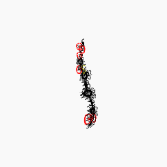 C=CC(=O)OCCOc1ccc(C(=O)Sc2ccc(C#Cc3ccc(C#Cc4ccc(OC(=O)C=C)cc4)cc3)cc2C)cc1